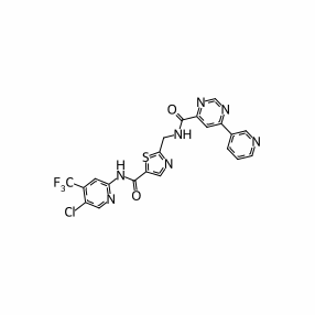 O=C(NCc1ncc(C(=O)Nc2cc(C(F)(F)F)c(Cl)cn2)s1)c1cc(-c2cccnc2)ncn1